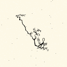 CCCCCCCCCCCCCCCCCCCC(=O)OCCC(COC(=O)[C@@H](N)C(C)C)Cc1nc2nc(N)[nH]c(=O)c2[nH]1